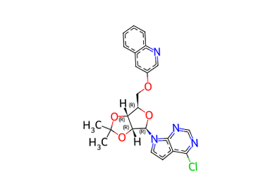 CC1(C)O[C@@H]2[C@H](O1)[C@@H](COc1cnc3ccccc3c1)O[C@H]2n1ccc2c(Cl)ncnc21